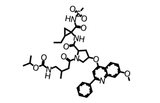 CCC1CC1(NC(=O)C1CC(Oc2cc(-c3ccccc3)nc3cc(OC)ccc23)CN1C(=O)CC(C)CNC(=O)OC(C)C)C(=O)NS(C)(=O)=O